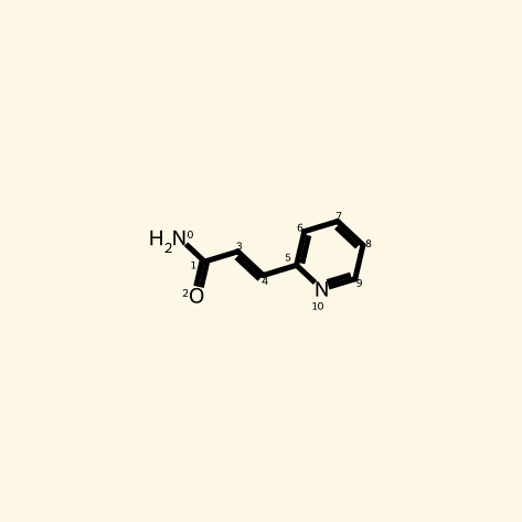 NC(=O)C=Cc1ccccn1